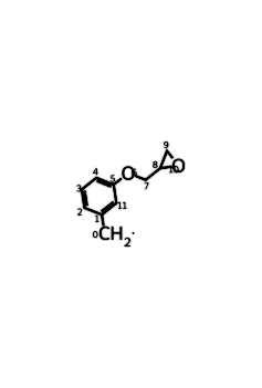 [CH2]c1cccc(OCC2CO2)c1